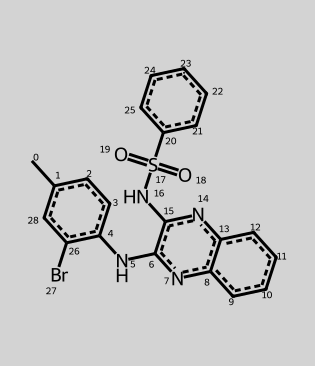 Cc1ccc(Nc2nc3ccccc3nc2NS(=O)(=O)c2cc[c]cc2)c(Br)c1